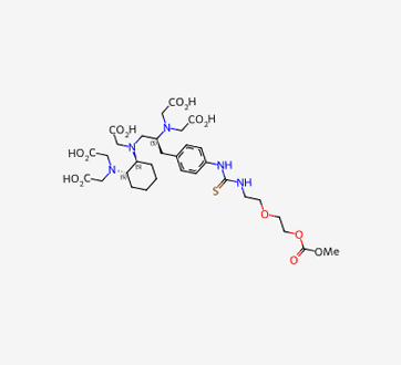 COC(=O)OCCOCCNC(=S)Nc1ccc(C[C@@H](CN(CC(=O)O)[C@H]2CCCC[C@@H]2N(CC(=O)O)CC(=O)O)N(CC(=O)O)CC(=O)O)cc1